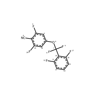 N#Cc1c(F)cc(OC(F)(F)c2c(F)cccc2F)cc1F